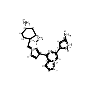 N#CC[C@]1(/C=[N+]2\C=C(c3nc(-c4cc(N)[nH]n4)cn4nccc34)C=N2)CC[C@H](N)CC1